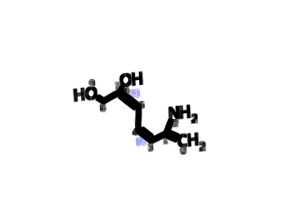 C=C(N)/C=C\C=C(\O)CO